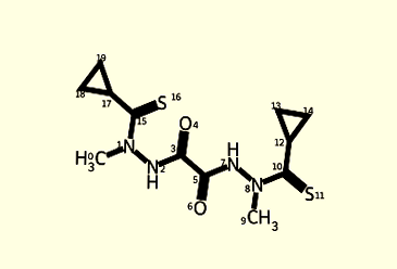 CN(NC(=O)C(=O)NN(C)C(=S)C1CC1)C(=S)C1CC1